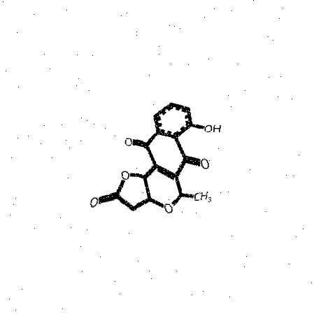 CC1OC2CC(=O)OC2C2=C1C(=O)c1c(O)cccc1C2=O